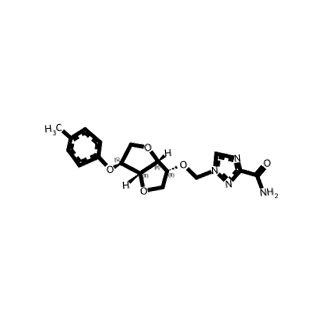 Cc1ccc(O[C@H]2CO[C@H]3[C@@H]2OC[C@H]3OCn2cnc(C(N)=O)n2)cc1